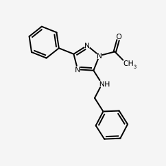 CC(=O)n1nc(-c2ccccc2)nc1NCc1ccccc1